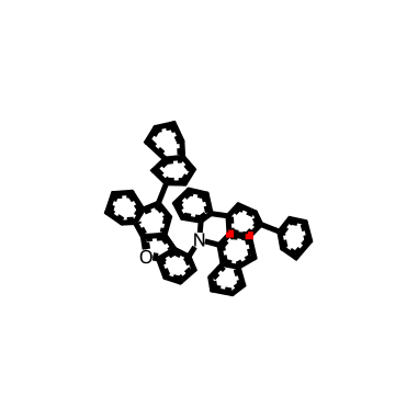 c1ccc(-c2ccc(-c3ccccc3N(c3cccc4ccccc34)c3cccc4oc5c6ccccc6c(-c6ccc7ccccc7c6)cc5c34)cc2)cc1